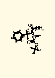 CN(C(=O)OC(C)(C)C)[C@H](C(N)=O)C(C)(C)c1ccccc1